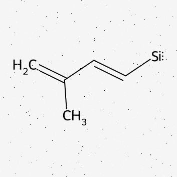 C=C(C)C=C[Si]